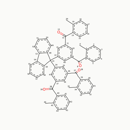 Cc1ccccc1C(=O)c1cc(C(=O)c2ccccc2C)cc(C2(c3cc(C(=O)c4ccccc4C)cc(C(=O)c4ccccc4C)c3)c3ccccc3-c3ccccc32)c1